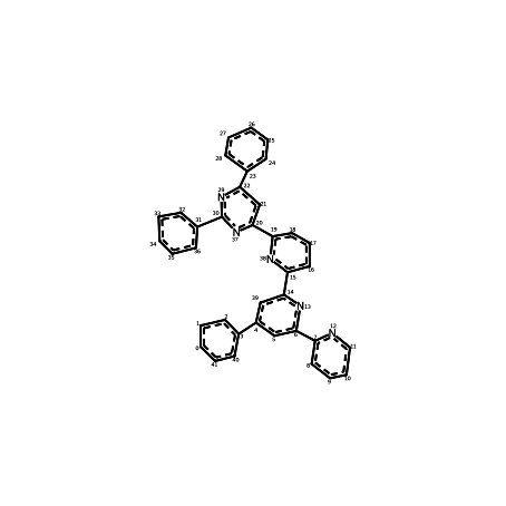 c1ccc(-c2cc(-c3ccccn3)nc(-c3cccc(-c4cc(-c5ccccc5)nc(-c5ccccc5)n4)n3)c2)cc1